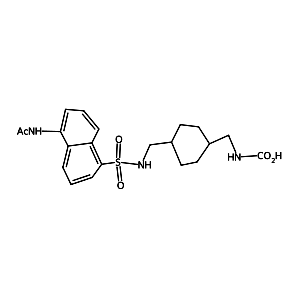 CC(=O)Nc1cccc2c(S(=O)(=O)NCC3CCC(CNC(=O)O)CC3)cccc12